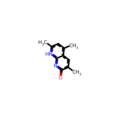 Cc1cc(C)c2cc(C)c(=O)nc-2[nH]1